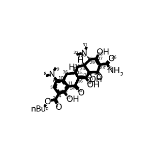 CCCCOC(=O)c1cc(N(C)C)c2c(c1O)C(=O)C1=C(O)[C@]3(O)C(=O)C(C(N)=O)=C(O)[C@@H](N(C)C)[C@@H]3C[C@@H]1C2